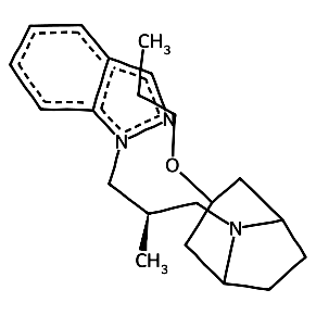 CCCOC1CC2CCC(C1)N2C[C@@H](C)Cn1ncc2ccccc21